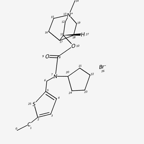 CCc1ccc(CN(C(=O)O[C@H]2C[N+]3(C)CCC2CC3)C2CCCC2)s1.[Br-]